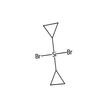 Br[Si](Br)(C1CC1)C1CC1